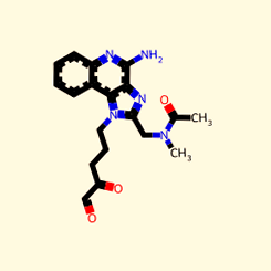 CC(=O)N(C)Cc1nc2c(N)nc3ccccc3c2n1CCCC(=O)C=O